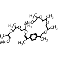 C=C(COC(C)COC(C)COC(C)COC)c1ccc(/C(C)=C\OC(C)COC(C)COC(C)COC)cc1